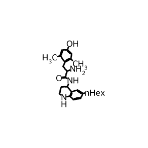 CCCCCCc1ccc2c(c1)C(NC(=O)C(N)Cc1c(C)cc(O)cc1C)CCN2